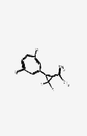 C=C(C)C1C(C2=CC(Cl)=CCC(Cl)=C2)C1(Cl)Cl